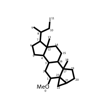 COC1CC2C3CCC(C(C)CI)C3(C)CCC2C2(C)CCC3CC312